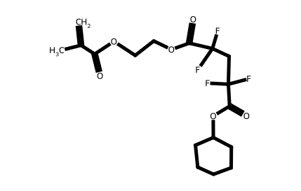 C=C(C)C(=O)OCCOC(=O)C(F)(F)CC(F)(F)C(=O)OC1CCCCC1